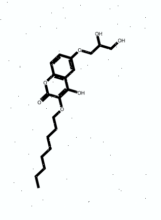 CCCCCCCCOc1c(O)c2cc(OCC(O)CO)ccc2oc1=O